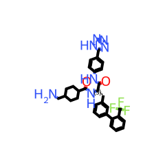 NCC1CCC(C(=O)N[C@@H](Cc2cccc(-c3ccccc3C(F)(F)F)c2)C(=O)Nc2ccc(-c3nnn[nH]3)cc2)CC1